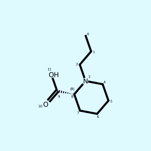 CCCN1CCCC[C@@H]1C(=O)O